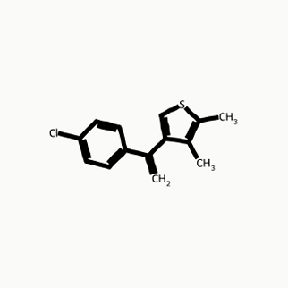 C=C(c1ccc(Cl)cc1)c1csc(C)c1C